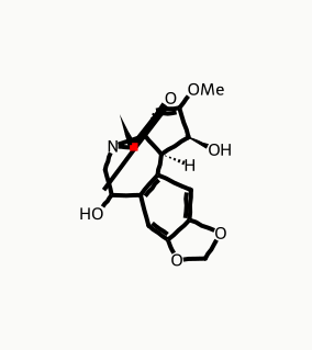 COC1=C[C@]23C(=O)CCN2CC(O)c2cc4c(cc2[C@@H]3[C@@H]1O)OCO4